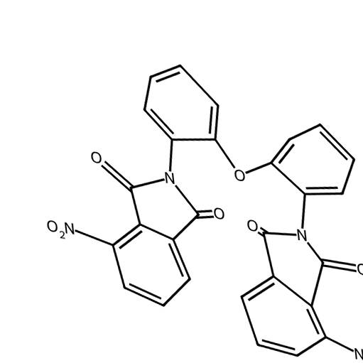 O=C1c2cccc([N+](=O)[O-])c2C(=O)N1c1ccccc1Oc1ccccc1N1C(=O)c2cccc([N+](=O)[O-])c2C1=O